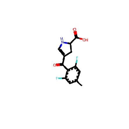 Cc1cc(F)c(C(=O)C2=CNC(C(=O)O)C2)c(F)c1